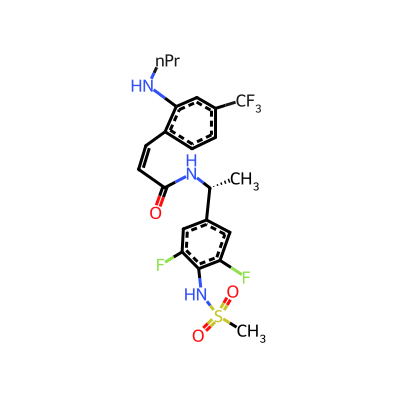 CCCNc1cc(C(F)(F)F)ccc1/C=C\C(=O)N[C@H](C)c1cc(F)c(NS(C)(=O)=O)c(F)c1